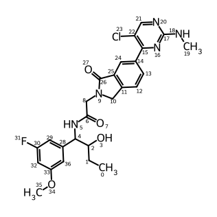 CCC(O)C(NC(=O)CN1Cc2ccc(-c3nc(NC)ncc3Cl)cc2C1=O)c1cc(F)cc(OC)c1